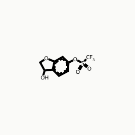 O=S(=O)(Oc1ccc2c(c1)OCC2O)C(F)(F)F